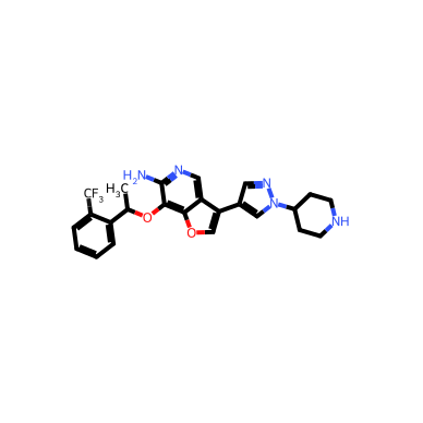 CC(Oc1c(N)ncc2c(-c3cnn(C4CCNCC4)c3)coc12)c1ccccc1C(F)(F)F